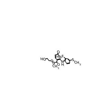 CSc1ccc(Nc2[nH]c(=O)ccc2C(=O)N(C)OCCO)c(F)c1